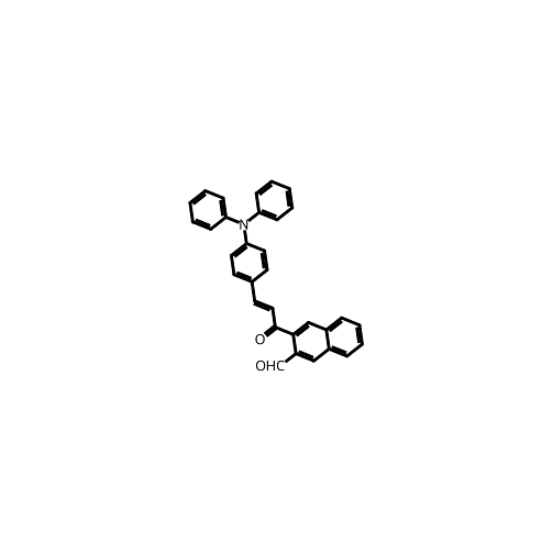 O=Cc1cc2ccccc2cc1C(=O)C=Cc1ccc(N(c2ccccc2)c2ccccc2)cc1